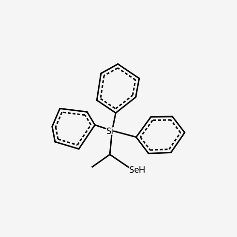 CC([SeH])[Si](c1ccccc1)(c1ccccc1)c1ccccc1